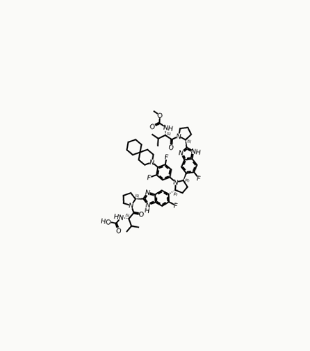 COC(=O)N[C@H](C(=O)N1CCC[C@H]1c1nc2cc([C@H]3CC[C@H](c4cc5nc([C@@H]6CCCN6C(=O)[C@@H](NC(=O)O)C(C)C)[nH]c5cc4F)N3c3cc(F)c(N4CCC5(CCCCC5)CC4)c(F)c3)c(F)cc2[nH]1)C(C)C